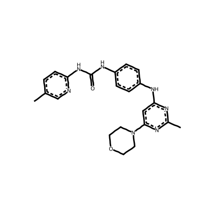 Cc1ccc(NC(=O)Nc2ccc(Nc3cc(N4CCOCC4)nc(C)n3)cc2)nc1